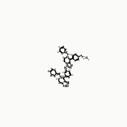 CCc1ccc(C2c3nnnn3CCN2Cc2ccccc2)cc1.Fc1cccc(C2c3nnnn3CCN2Cc2ccccc2)c1